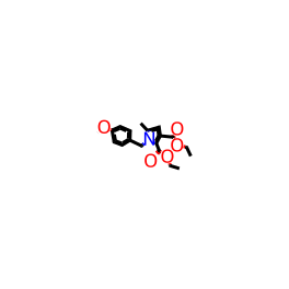 CCOC(=O)c1cc(C)n(Cc2ccc(OC)cc2)c1C(=O)OCC